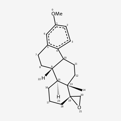 COc1ccc2c(c1)CC[C@@H]1C2CC[C@@]2(C)[C@H]1CCC[C@]21CO1